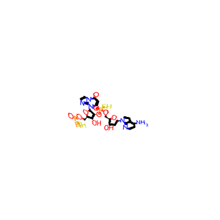 Nc1ccnc2c1ccn2[C@H]1C[C@H](O)[C@@H](COP(=O)(S)O[C@@H]2[C@H](O)[C@@H](CO[PH](=O)S)O[C@H]2n2ccc(=O)n3ccnc23)O1